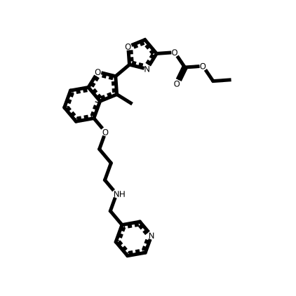 CCOC(=O)Oc1coc(-c2oc3cccc(OCCCNCc4cccnc4)c3c2C)n1